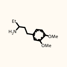 CCC(N)CCc1ccc(OC)c(OC)c1